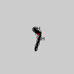 C#CCOCCOCCOCCOCCNC(=O)CC[C@@H](C)[C@H]1CC[C@H]2[C@@H]3CC=C4C[C@@H](OS(=O)(=O)O)CC[C@]4(C)[C@H]3CC[C@]12C